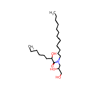 CCCCCCCCCCCCN(CC(O)CO)C(=O)C(O)CCCCCC